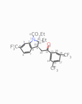 CCOC(=O)N1c2cc(C(F)(F)F)ccc2[C@H](CC(=O)c2cc(C(F)(F)F)cc(C(F)(F)F)c2)[C@H]1CC